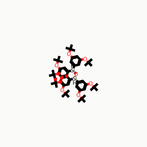 CC(C)(C)Oc1cc(OC(C)(C)C)cc([SiH](O[SiH](c2cc(OC(C)(C)C)cc(OC(C)(C)C)c2)c2cc(OC(C)(C)C)cc(OC(C)(C)C)c2)c2cc(OC(C)(C)C)cc(OC(C)(C)C)c2)c1